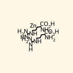 N=C(N)NCCCC(N)C(=O)O.N=C(N)NCCCC(N)C(=O)O.[Zn]